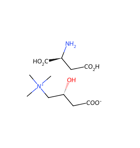 C[N+](C)(C)C[C@H](O)CC(=O)[O-].N[C@@H](CC(=O)O)C(=O)O